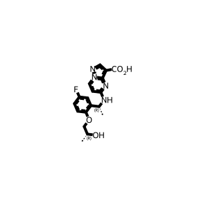 C[C@@H](O)COc1ccc(F)cc1[C@@H](C)Nc1ccn2ncc(C(=O)O)c2n1